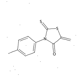 C=C1SC(=S)N(c2ccc(C)cc2)C1=O